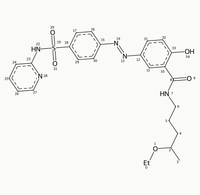 CCOC(C)CCCNC(=O)c1cc(/N=N/c2ccc(S(=O)(=O)Nc3ccccn3)cc2)ccc1O